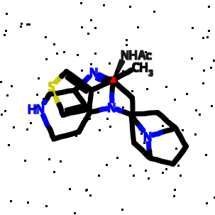 CC(=O)N[C@@H](CCN1C2CCC1CC(N1C(C)=NC3CNCCC31)C2)c1ccsc1